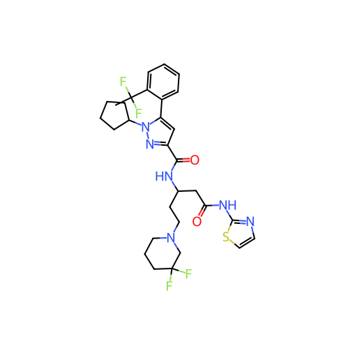 CC(F)(F)c1ccccc1-c1cc(C(=O)NC(CCN2CCCC(F)(F)C2)CC(=O)Nc2nccs2)nn1C1CCCC1